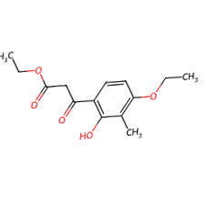 CCOC(=O)CC(=O)c1ccc(OCC)c(C)c1O